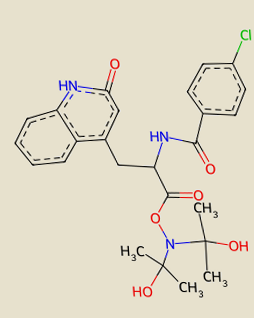 CC(C)(O)N(OC(=O)C(Cc1cc(=O)[nH]c2ccccc12)NC(=O)c1ccc(Cl)cc1)C(C)(C)O